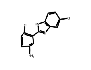 Nc1ccc(Cl)c(-c2nc3cc(Cl)ccc3[nH]2)c1